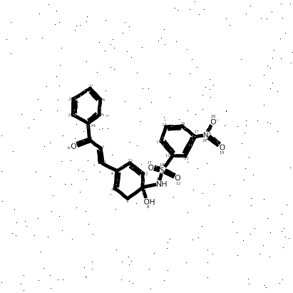 O=C(C=CC1=CCC(O)(NS(=O)(=O)c2cccc([N+](=O)[O-])c2)C=C1)c1ccccc1